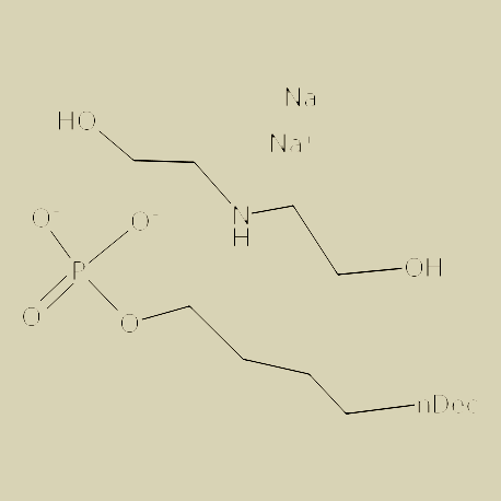 CCCCCCCCCCCCCCOP(=O)([O-])[O-].OCCNCCO.[Na+].[Na+]